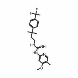 COc1cc(NC(=N)NCCC(C)(C)c2ccc(C(F)(F)F)cc2)ncc1C